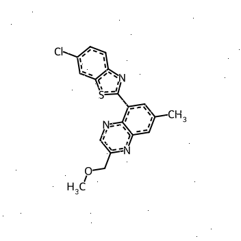 COCc1cnc2c(-c3nc4ccc(Cl)cc4s3)cc(C)cc2n1